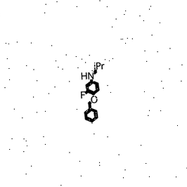 CC(C)CNc1ccc(OCc2cc[c]cc2)c(F)c1